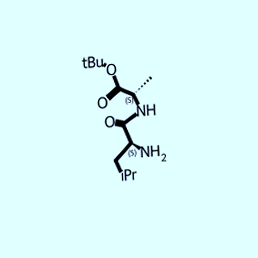 CC(C)C[C@H](N)C(=O)N[C@@H](C)C(=O)OC(C)(C)C